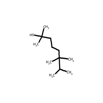 CC(C)C(C)(C)CCCC(C)(C)S